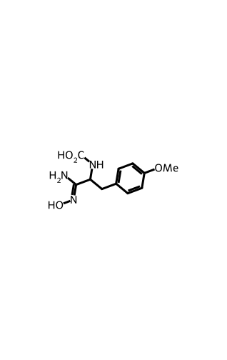 COc1ccc(CC(NC(=O)O)C(N)=NO)cc1